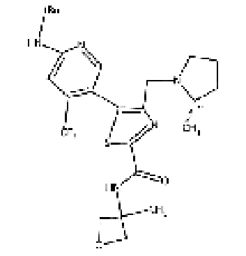 C[C@H]1CCCN1Cc1nc(C(=O)NC2(C)COC2)sc1-c1cnc(NC(C)(C)C)cc1C(F)(F)F